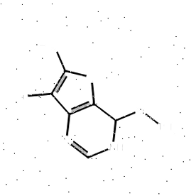 Cc1oc2c(c1Br)N=CNC2OP